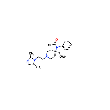 CCC(=O)N(c1ccccc1)C1(COC)CCN(CCn2c([N+](=O)[O-])cnc2C)CC1